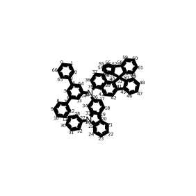 c1ccc(-c2cc(-c3ccccc3)cc(N(c3ccc4c5ccccc5n(-c5ccccc5)c4c3)c3cccc4c5c(ccc34)-c3ccccc3C53c4ccccc4-c4ccccc43)c2)cc1